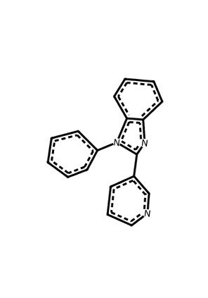 c1ccc(-n2c(-c3cccnc3)nc3ccccc32)cc1